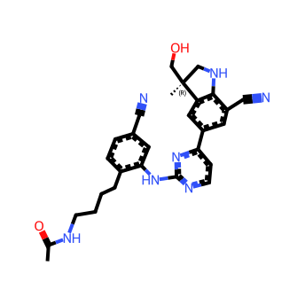 CC(=O)NCCCCc1ccc(C#N)cc1Nc1nccc(-c2cc(C#N)c3c(c2)[C@@](C)(CO)CN3)n1